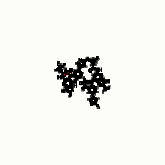 Cc1nc2c(Nc3ccc(-c4cnn(CC5[C@@H](F)[C@H]5C(=O)Nc5cc(Nc6ccc(-c7cnn(C)c7)cc6N(C)S(C)(=O)=O)c6nc(C(F)F)[nH]c6n5)c4)cc3N(C)S(C)(=O)=O)cc(NC(=O)[C@H]3CC3(F)F)nc2[nH]1